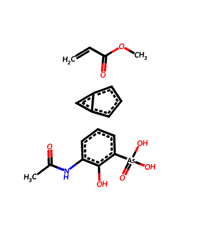 C=CC(=O)OC.CC(=O)Nc1cccc([As](=O)(O)O)c1O.c1cc2cc-2c1